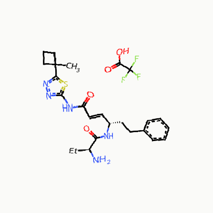 CC[C@H](N)C(=O)N[C@H](/C=C/C(=O)Nc1nnc(C2(C)CCC2)s1)CCc1ccccc1.O=C(O)C(F)(F)F